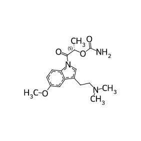 COc1ccc2c(c1)c(CCN(C)C)cn2C(=O)[C@H](C)OC(N)=O